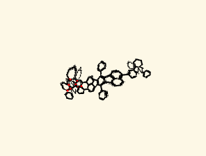 COC12CCCCC1(C)N(c1ccccc1)c1ccc(-c3ccc4c5c(-c6ccccc6)c6c7ccc(-c8ccc9c(c8)C8(OC)CCCCC8(C)N9c8ccccc8)c8c(-c9ccc%10c(c9)C9(OC)CCCCC9(C)N%10c9ccccc9)ccc(c6c(-c6ccccc6)c5c5cccc3c54)c87)cc12